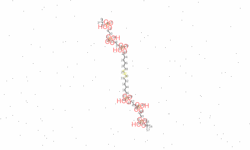 CC(C)(C)OP(=O)(O)OCCOP(=O)(O)OCCOP(=O)(O)OCCCCCCSSCCCCCCOP(=O)(O)OCCOP(=O)(O)OCCOP(=O)(O)OC(C)(C)C